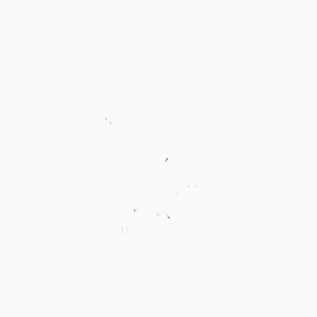 O=C(OC1NCCCCO1)[C@H]1O[C@@H](O)[C@H](O)[C@@H](O)[C@@H]1O